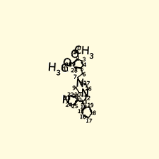 COc1ccc(CCN2CCN(CC(c3ccccc3)c3ccncc3)CC2)cc1OC